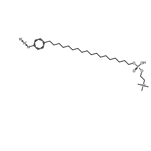 C[N+](C)(C)CCOP(=O)(O)OCCCCCCCCCCCCCCCCCCc1ccc(N=[N+]=[N-])cc1